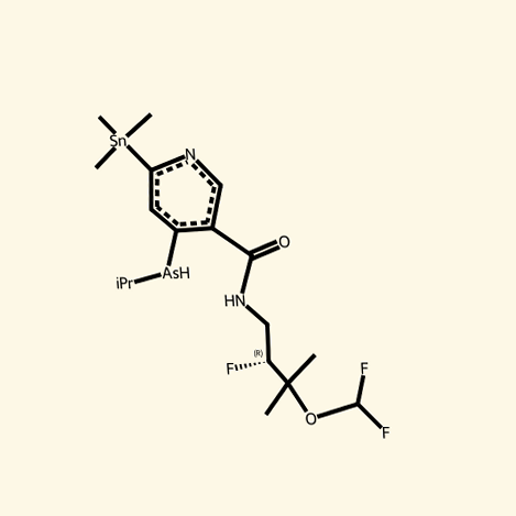 CC(C)[AsH]c1c[c]([Sn]([CH3])([CH3])[CH3])ncc1C(=O)NC[C@@H](F)C(C)(C)OC(F)F